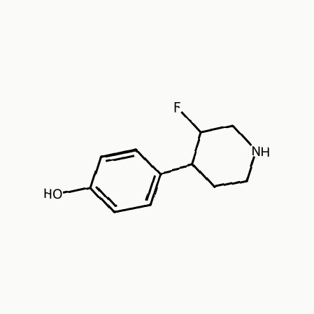 Oc1ccc(C2CCNCC2F)cc1